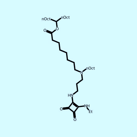 CCCCCCCCC(CCCCCCCC)OC(=O)CCCCCCCN(CCCCCCCC)CCCNc1c(NCC)c(=O)c1=O